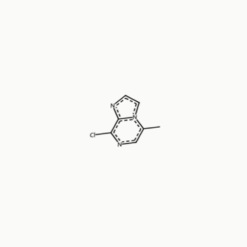 Cc1cnc(Cl)c2nccn12